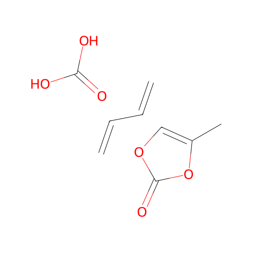 C=CC=C.Cc1coc(=O)o1.O=C(O)O